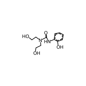 O=C(Nc1ccccc1O)N(CCO)CCO